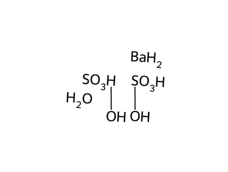 O.O=S(=O)(O)O.O=S(=O)(O)O.[BaH2]